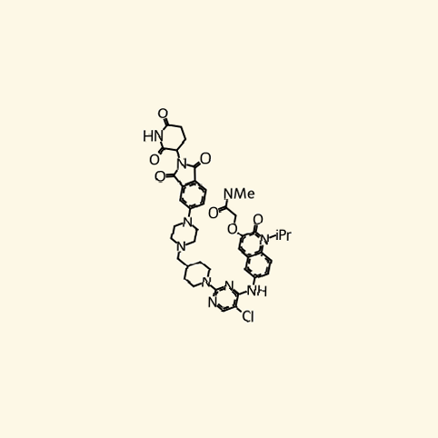 CNC(=O)COc1cc2cc(Nc3nc(N4CCC(CN5CCN(c6ccc7c(c6)C(=O)N(C6CCC(=O)NC6=O)C7=O)CC5)CC4)ncc3Cl)ccc2n(C(C)C)c1=O